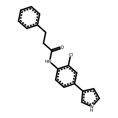 O=C(CCc1ccccc1)Nc1ccc(-c2cc[nH]c2)cc1Cl